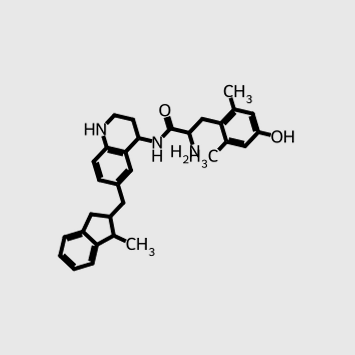 Cc1cc(O)cc(C)c1CC(N)C(=O)NC1CCNc2ccc(CC3Cc4ccccc4C3C)cc21